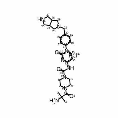 CC(C)(N)C(=O)N1CCN(C(=O)Nc2ccn(-c3ccc(CN4CC5CNCC5C4)cc3)c(=O)n2)CC1.Cl